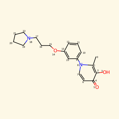 Cc1c(O)c(=O)ccn1-c1cccc(OCCCN2CCCC2)c1